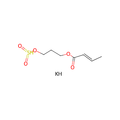 CC=CC(=O)OCCCO[SH](=O)=O.[KH]